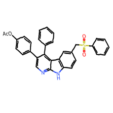 CC(=O)Oc1ccc(-c2cnc3[nH]c4ccc(CS(=O)(=O)c5ccccc5)cc4c3c2-c2ccccc2)cc1